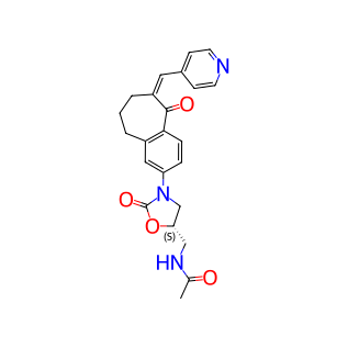 CC(=O)NC[C@H]1CN(c2ccc3c(c2)CCCC(=Cc2ccncc2)C3=O)C(=O)O1